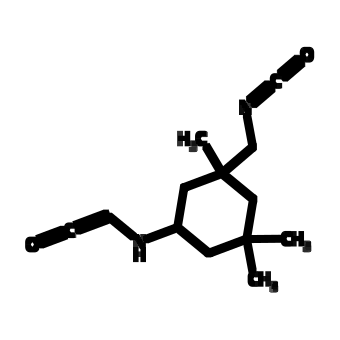 CC1(C)CC(NC=C=O)CC(C)(CN=C=O)C1